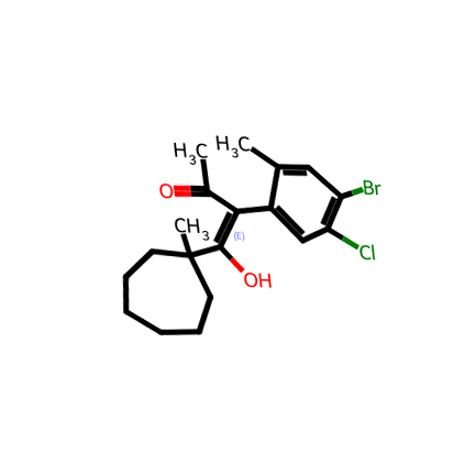 CC(=O)/C(=C(/O)C1(C)CCCCCC1)c1cc(Cl)c(Br)cc1C